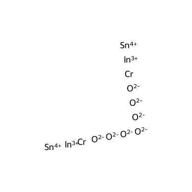 [Cr].[Cr].[In+3].[In+3].[O-2].[O-2].[O-2].[O-2].[O-2].[O-2].[O-2].[Sn+4].[Sn+4]